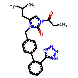 CCC(=O)n1cc(CC(C)C)n(Cc2ccc(-c3ccccc3-c3nnn[nH]3)cc2)c1=O